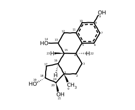 C[C@]12CC[C@@H]3c4ccc(O)cc4CC(O)[C@H]3[C@@H]1C[C@@H](O)[C@@H]2O